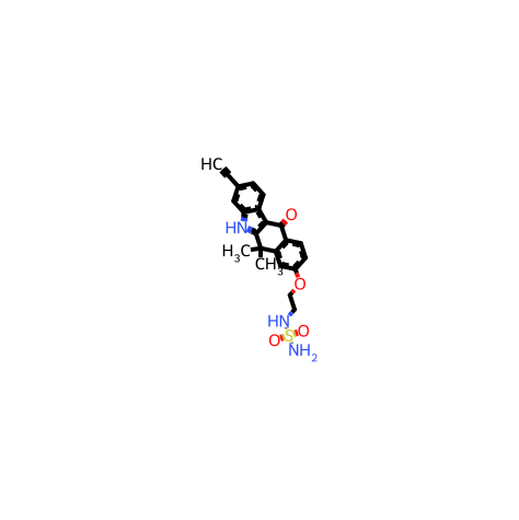 C#Cc1ccc2c3c([nH]c2c1)C(C)(C)c1cc(OCCNS(N)(=O)=O)ccc1C3=O